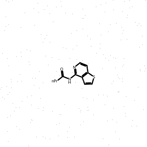 CCCC(=O)Nc1nccc2sccc12